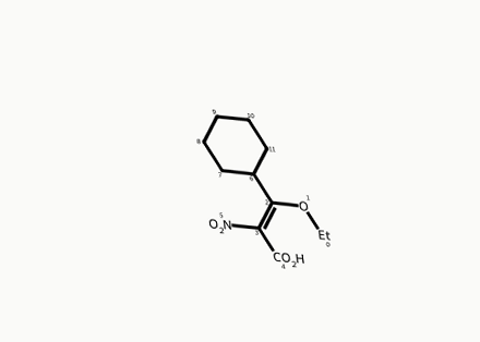 CCOC(=C(C(=O)O)[N+](=O)[O-])C1CCCCC1